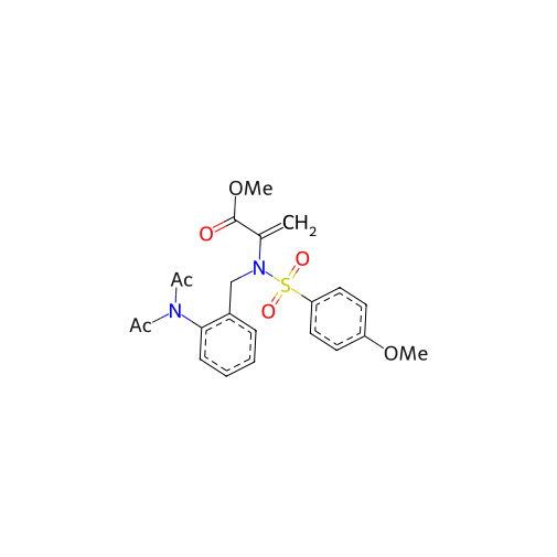 C=C(C(=O)OC)N(Cc1ccccc1N(C(C)=O)C(C)=O)S(=O)(=O)c1ccc(OC)cc1